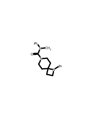 CC(C)N(C)C(=O)N1CCC2(CC1)CCN2C(C)C